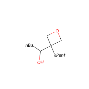 CCCCCC1(C(O)CCCC)COC1